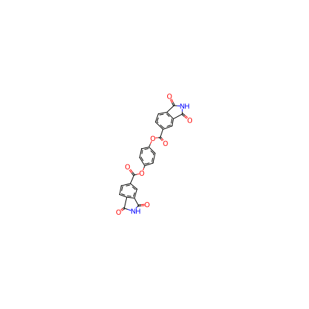 O=C(Oc1ccc(OC(=O)c2ccc3c(c2)C(=O)NC3=O)cc1)c1ccc2c(c1)C(=O)NC2=O